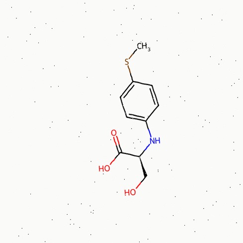 CSc1ccc(N[C@@H](CO)C(=O)O)cc1